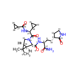 CC1(C)[C@@H]2[C@@H](C(=O)N[C@@H](CC[C@@H]3CCNC3=O)C(N)=O)N(C(=O)[C@@H](NC(=O)C3CC3)C3CC3)C[C@@H]21